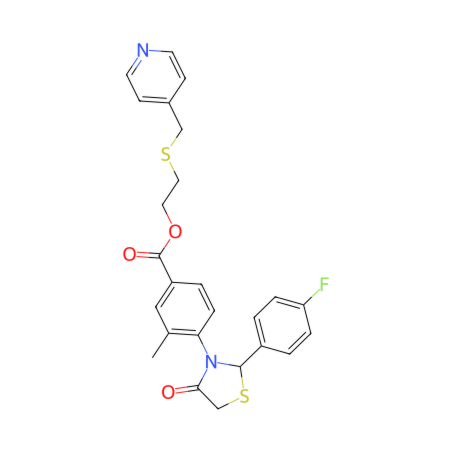 Cc1cc(C(=O)OCCSCc2ccncc2)ccc1N1C(=O)CSC1c1ccc(F)cc1